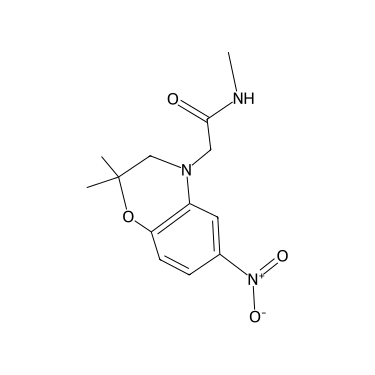 CNC(=O)CN1CC(C)(C)Oc2ccc([N+](=O)[O-])cc21